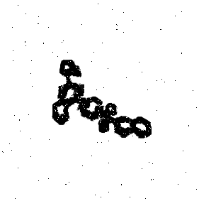 O=S(=O)(c1ccc2ccccc2c1)N1CCN(c2nc(-c3cccs3)nc3ccccc23)CC1